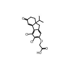 CC(C)C12CCC(=O)C=C1c1c(cc(OCC(=O)O)c(Cl)c1Cl)C2